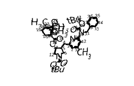 Cc1cc(CC2CN(C(=O)OC(C)(C)C)CC2OC(=O)[C@]23CC[C@@](C)(C(=O)O2)C3(C)C)nc(N(Cc2ccccc2)C(=O)OC(C)(C)C)c1